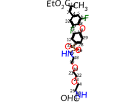 CCOC(=O)/C(C)=C/c1cc(F)c(Oc2ccc(S(=O)(=O)NCCOCCOCCNC=O)cc2)c(F)c1